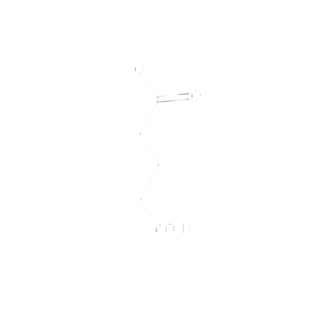 [O]C(=O)CCCC(=O)O